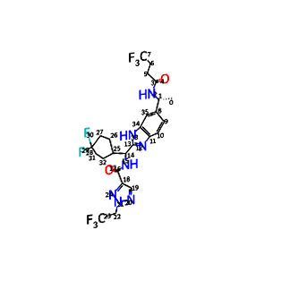 C[C@@H](NC(=O)CCC(F)(F)F)c1ccc2nc([C@@H](NC(=O)c3cnn(CC(F)(F)F)n3)C3CCC(F)(F)CC3)[nH]c2c1